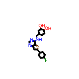 Oc1ccc(CNc2ncnc3cc(-c4ccc(F)cc4)sc23)cc1O